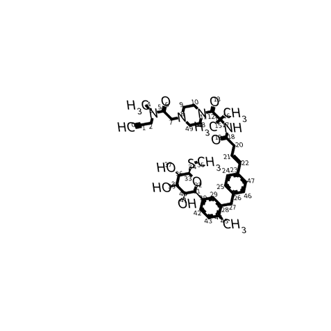 C#CCN(C)C(=O)CN1CCN(C(=O)C(C)(C)NC(=O)C/C=C/c2ccc(Cc3cc([C@@H]4O[C@H](SC)[C@@H](O)[C@H](O)[C@H]4O)ccc3C)cc2)CC1